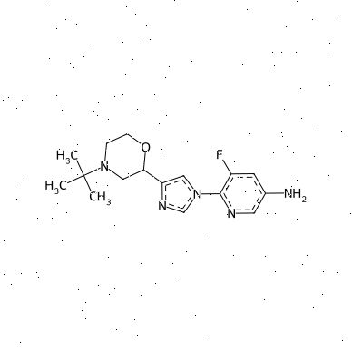 CC(C)(C)N1CCOC(c2cn(-c3ncc(N)cc3F)cn2)C1